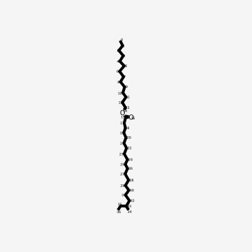 CCCCCCCCCCCCCCOC(=O)CCCCCCCCCCCCCCCCC(C)CC